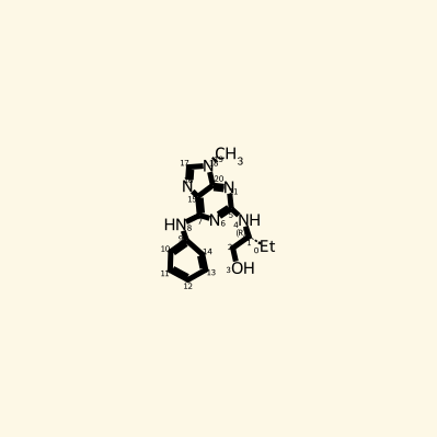 CC[C@H](CO)Nc1nc(Nc2ccccc2)c2ncn(C)c2n1